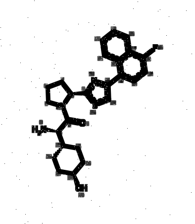 N[C@H](C(=O)N1CCC[C@H]1c1nc(-c2ccc(F)c3ccccc23)cs1)[C@H]1CC[C@H](O)CC1